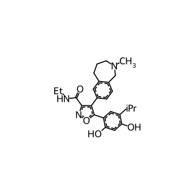 CCNC(=O)c1noc(-c2cc(C(C)C)c(O)cc2O)c1-c1ccc2c(c1)CCCN(C)C2